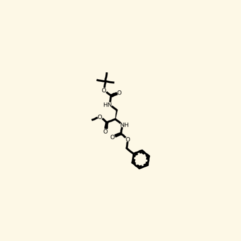 COC(=O)[C@@H](CNC(=O)OC(C)(C)C)NC(=O)OCc1ccccc1